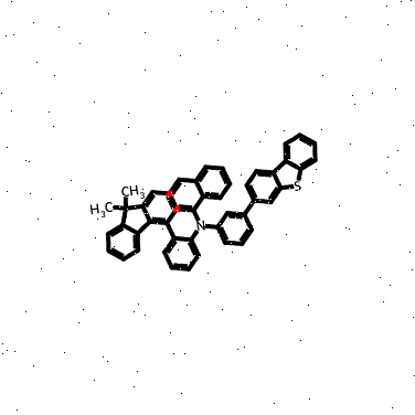 CC1(C)c2ccccc2-c2c(-c3ccccc3N(c3cccc(-c4ccc5c(c4)sc4ccccc45)c3)c3cccc4ccccc34)cccc21